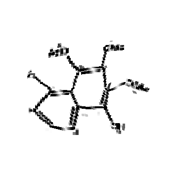 COc1c(OC)c(OC(C)=O)c2c(Cl)cccc2c1O